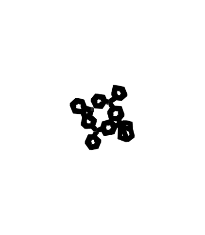 c1ccc(N(c2ccccc2)c2ccc(C3(c4ccc(N(c5ccccc5)c5ccc6c(c5)oc5ccccc56)cc4)C4CC5CC(C4)CC3C5)cc2)cc1